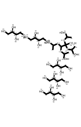 CCCCCCCCCCC(C)SC(SC(C)CCCCCCCCCC)C(SC(C)CCCCCCCCCC)(SC(C)CCCCCCCCCC)C(=O)O.OC[C@@H](O)[C@@H](O)CO.OC[C@@H](O)[C@@H](O)CO.OC[C@@H](O)[C@@H](O)CO.OC[C@@H](O)[C@@H](O)CO.OC[C@@H](O)[C@@H](O)CO